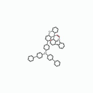 c1ccc(-c2ccc(N(c3ccc(-c4ccccc4)cc3)c3ccc(-c4ccc5c(c4)C4(c6ccccc6S5)c5ccccc5-n5c6ccccc6c6cccc4c65)cc3)cc2)cc1